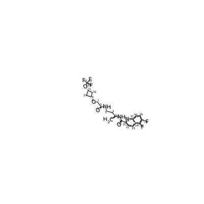 C=C(CCNC(=O)CO[C@H]1C[C@@H](OC(F)(F)F)C1)NC(=O)c1ccc2c(F)c(F)ccc2n1